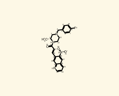 C[C@@H]1CN(Cc2ccc(F)cc2)CCN1C(=O)/C=C/c1cc2ncccc2cc1[N+](=O)[O-]